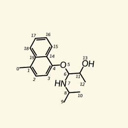 Cc1ccc(OC(NC(C)C)C(C)O)c2ccccc12